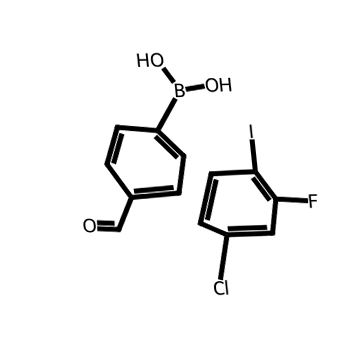 Fc1cc(Cl)ccc1I.O=Cc1ccc(B(O)O)cc1